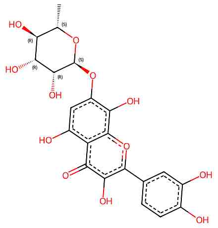 C[C@@H]1O[C@@H](Oc2cc(O)c3c(=O)c(O)c(-c4ccc(O)c(O)c4)oc3c2O)[C@H](O)[C@H](O)[C@H]1O